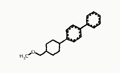 COCC1CCC(c2ccc(-c3ccccc3)cc2)CC1